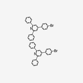 Brc1ccc(-c2cc(-c3ccccc3)nc(-c3ccccc3)c2)cc1.Brc1ccc(-c2cc(-c3ccccc3)nc(-c3ccccc3)c2)cc1